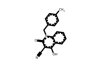 Cc1ccc(Cn2c(=O)c(C#N)c(O)c3ccccc32)cc1